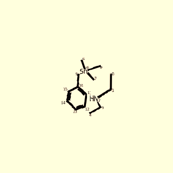 CCNCC.[CH3][Sn]([CH3])([CH3])[CH2]c1ccccc1